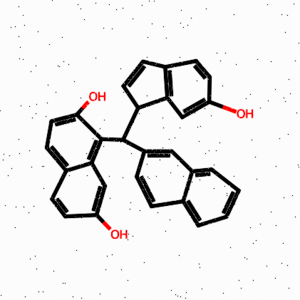 Oc1ccc2c(c1)C(C(c1ccc3ccccc3c1)c1c(O)ccc3ccc(O)cc13)C=C2